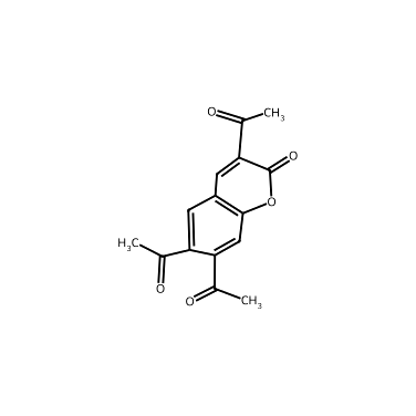 CC(=O)c1cc2cc(C(C)=O)c(=O)oc2cc1C(C)=O